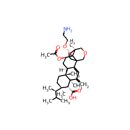 C=C1C=C2[C@H](CC[C@@H]3C24COC[C@]3(C)[C@@H](OCCN)[C@H](OC(C)=O)C4)[C@@]2(C)CC[C@](C)([C@H](C)C(C)C)[C@@H](C(=O)O)[C@]12C